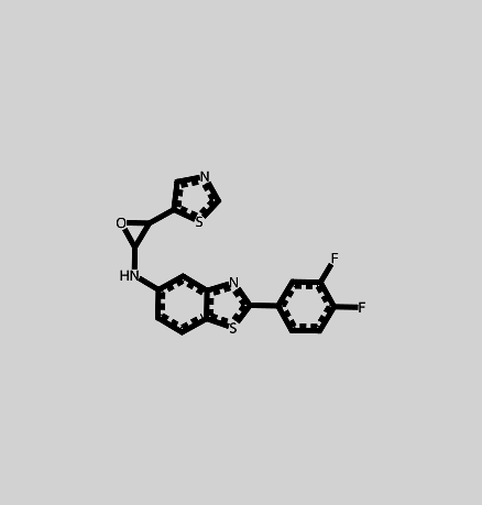 Fc1ccc(-c2nc3cc(NC4OC4c4cncs4)ccc3s2)cc1F